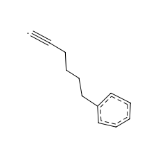 [C]#CCCCCc1ccccc1